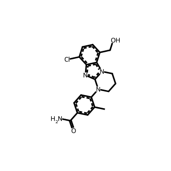 Cc1cc(C(N)=O)ccc1N1CCCn2c1nc1c(Cl)ccc(CO)c12